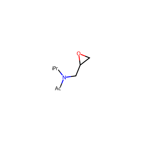 CC(=O)N(CC1CO1)C(C)C